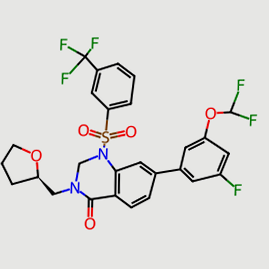 O=C1c2ccc(-c3cc(F)cc(OC(F)F)c3)cc2N(S(=O)(=O)c2cccc(C(F)(F)F)c2)CN1C[C@H]1CCCO1